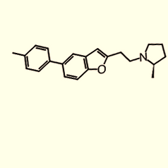 Cc1ccc(-c2ccc3oc(CCN4CCC[C@H]4C)cc3c2)cc1